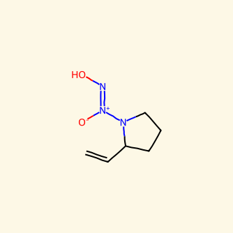 C=CC1CCCN1[N+]([O-])=NO